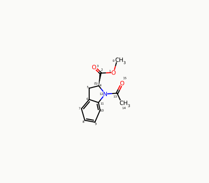 COC(=O)[C@@H]1Cc2ccccc2N1C(C)=O